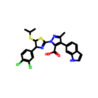 Cc1nn(C2=NC(c3ccc(Cl)c(Cl)c3)C(SC(C)C)S2)c(C(=O)O)c1-c1ccc2cc[nH]c2c1